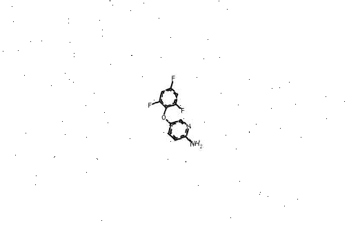 Nc1ccc(Oc2c(F)cc(F)cc2F)cn1